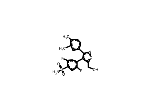 Cc1ccc(-c2noc(CO)c2-c2cc(F)c(S(N)(=O)=O)cc2F)cc1C